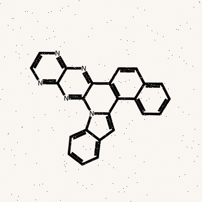 c1ccc2c(c1)ccc1c3nc4nccnc4nc3n3c4ccccc4cc3c21